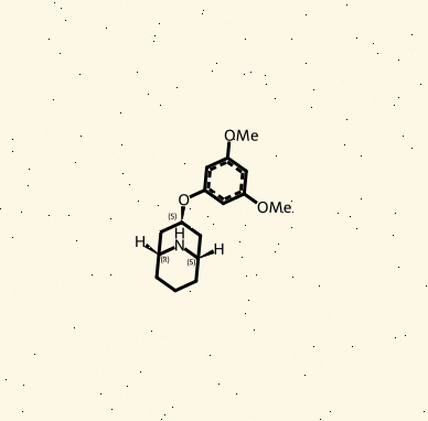 COc1cc(OC)cc(O[C@@H]2C[C@H]3CCC[C@@H](C2)N3)c1